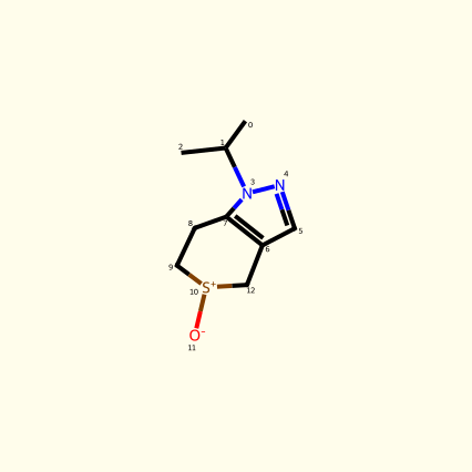 CC(C)n1ncc2c1CC[S+]([O-])C2